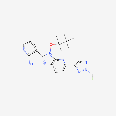 CC(C)(C)[Si](C)(C)On1c(-c2cccnc2N)nc2ccc(-c3cnn(CF)n3)nc21